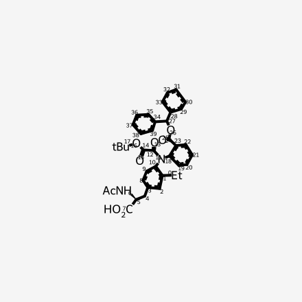 CCc1cc(C[C@H](NC(C)=O)C(=O)O)ccc1N(C(=O)C(=O)OC(C)(C)C)c1ccccc1C(=O)OC(c1ccccc1)c1ccccc1